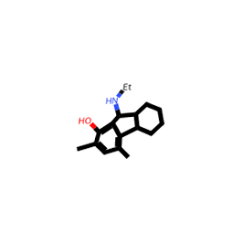 CCNC1c2c(O)c(C)cc(C)c2C2CCCCC21